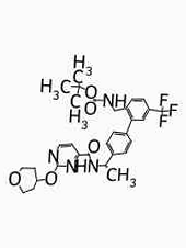 C[C@@H](NC(=O)c1ccnc(OC2CCOCC2)n1)c1ccc(-c2cc(C(F)(F)F)ccc2CNC(=O)OC(C)(C)C)cc1